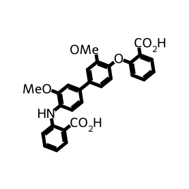 COc1cc(-c2ccc(Oc3ccccc3C(=O)O)c(OC)c2)ccc1Nc1ccccc1C(=O)O